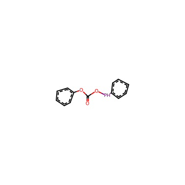 O=C(OPc1ccccc1)Oc1ccccc1